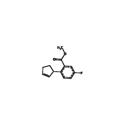 COC(=O)c1cc(F)ccc1C1C=CCC1